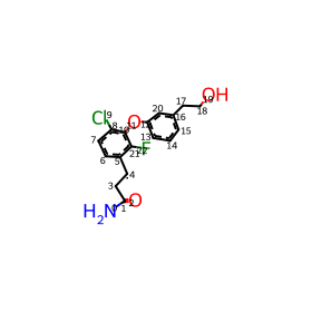 NC(=O)C[CH]c1ccc(Cl)c(Oc2cccc(CCO)c2)c1F